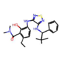 CCc1ccc(Nc2nsnc2N[C@@H](c2ccccc2)C(C)(C)C)c(O)c1C(=O)N(C)C